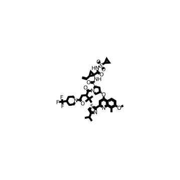 C=CC1C[C@@]1(NC(=O)[C@@H]1C[C@@H](Oc2cc(-c3nc(C(C)C)cs3)nc3c(C)c(OC)ccc23)CN1C(=O)C(CC(=O)N1CCC(C(F)(F)F)CC1)C(C)(C)C)C(=O)NS(=O)(=O)C1CC1